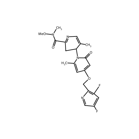 CON(C)C(=O)C1=NC=C(C)C(n2c(C)cc(OCc3ncc(F)cc3F)cc2=O)C1